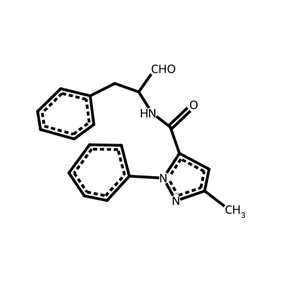 Cc1cc(C(=O)NC(C=O)Cc2ccccc2)n(-c2ccccc2)n1